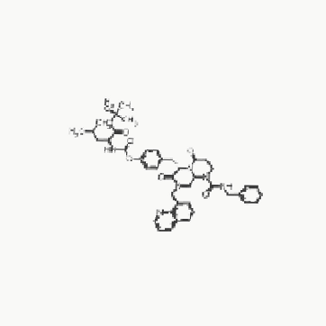 CC(C)CC(NC(=O)Oc1ccc(C[C@H]2C(=O)N(Cc3cccc4cccnc34)CC3N(C(=O)NCc4ccccc4)CCC(=O)N32)cc1)C(=O)OC(C)(C)C